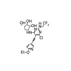 CCOc1ccc(C#Cc2c(Cl)nc(NCC(F)(F)F)nc2N[C@@H]2C[C@H](CO)[C@@H](O)[C@H]2O)cn1